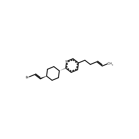 C/C=C/CCc1ccc([C@H]2CC[C@H](/C=C/Br)CC2)nc1